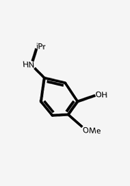 COc1ccc(NC(C)C)cc1O